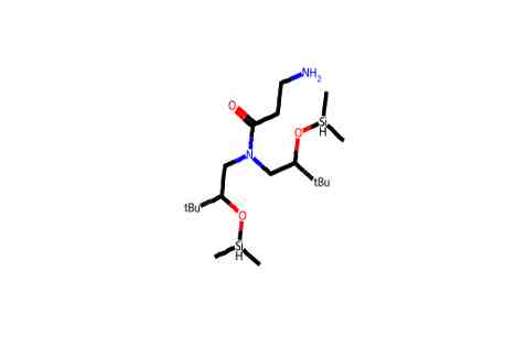 C[SiH](C)OC(CN(CC(O[SiH](C)C)C(C)(C)C)C(=O)CCN)C(C)(C)C